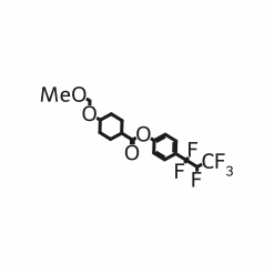 COCOC1CCC(C(=O)Oc2ccc(C(F)(F)C(F)C(F)(F)F)cc2)CC1